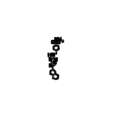 NS(=O)(=O)c1ccc(CNc2nn3cc(-c4ccc5ccccc5c4)nc3s2)cc1